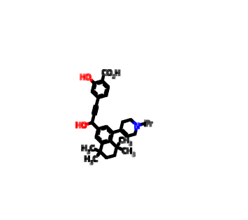 CC(C)N1CC=C(c2cc(C(O)C#Cc3ccc(C(=O)O)c(O)c3)cc3c2C(C)(C)CCC3(C)C)CC1